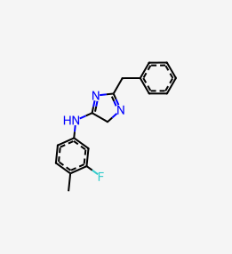 Cc1ccc(NC2=NC(Cc3ccccc3)=NC2)cc1F